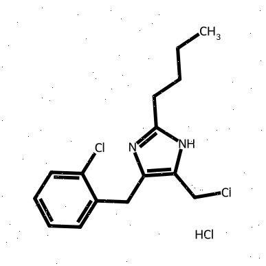 CCCCc1nc(Cc2ccccc2Cl)c(CCl)[nH]1.Cl